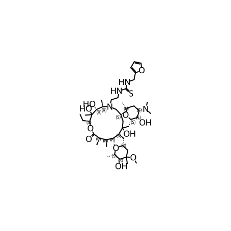 CC[C@@H]1OC(=O)[C@H](C)[C@H](C)[C@@H](C)[C@H](C[C@@H]2CC(C)(OC)[C@H](O)[C@H](C)O2)C(O)(C[C@@H]2O[C@H](C)C[C@H](N(C)C)[C@@H]2O)C[C@H](C)CN(CCNC(=S)NCc2ccco2)[C@H](C)[C@@H](O)C1(C)O